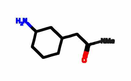 CNC(=O)CC1CCCC(N)C1